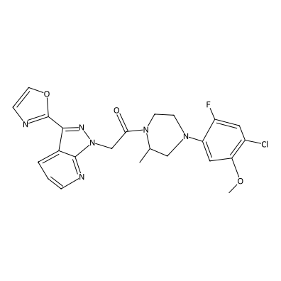 COc1cc(N2CCN(C(=O)Cn3nc(-c4ncco4)c4cccnc43)C(C)C2)c(F)cc1Cl